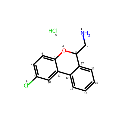 Cl.NCC1Oc2ccc(Cl)cc2-c2ccccc21